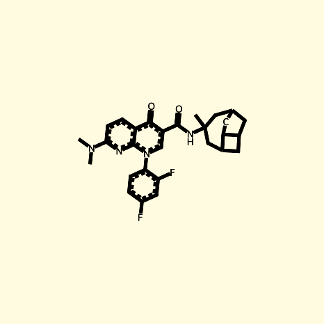 CN(C)c1ccc2c(=O)c(C(=O)NC3(C)CC4CC5CC(C3)C5C4)cn(-c3ccc(F)cc3F)c2n1